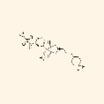 CCC1(c2cccc(NS(=O)(=O)C3CC3)c2)[C@@H]2CN(CCCC3CCC(F)(F)CC3)C[C@@H]21